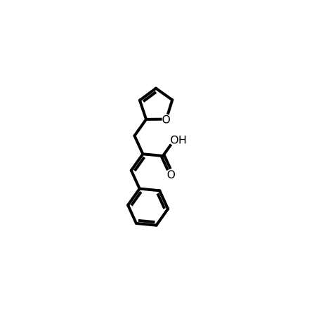 O=C(O)C(=Cc1ccccc1)CC1C=CCO1